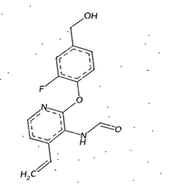 C=Cc1ccnc(Oc2ccc(CO)cc2F)c1NC=O